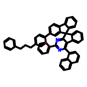 c1ccc(CCCc2ccc(-c3ccc4c(c3)C3(c5ccccc5-4)c4ccccc4-c4c(-c5cccc6ccccc56)nc(-c5ccccc5)nc43)cc2)cc1